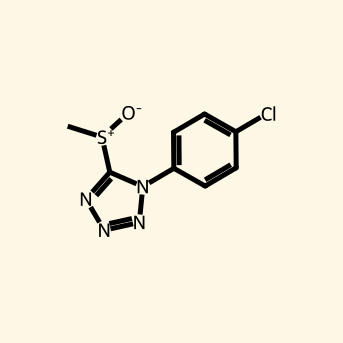 C[S+]([O-])c1nnnn1-c1ccc(Cl)cc1